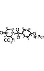 CCCCCOc1ccc(S(=O)(=O)N2CCC(O)CC2C(=O)O)cc1